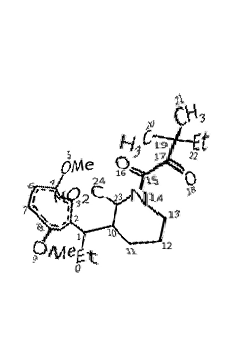 CCC(c1cc(OC)ccc1OC)C1CCCN(C(=O)C(=O)C(C)(C)CC)C1C(=O)O